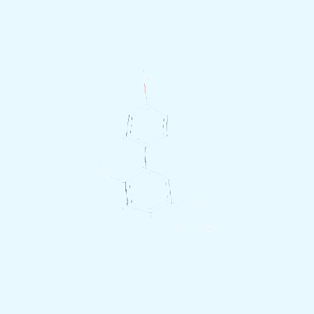 O=S(=O)(O)c1ccc(O)c(-c2ccc(O)cc2)c1